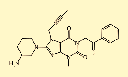 CC#CCn1c(N2CCCC(N)C2)nc2c1c(=O)n(CC(=O)c1ccccc1)c(=O)n2C